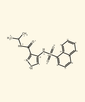 CC(C)NC(=O)c1n[nH]cc1NS(=O)(=O)c1cccc2ccccc12